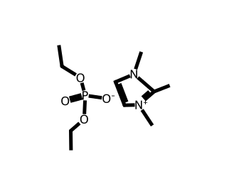 CCOP(=O)([O-])OCC.Cc1n(C)cc[n+]1C